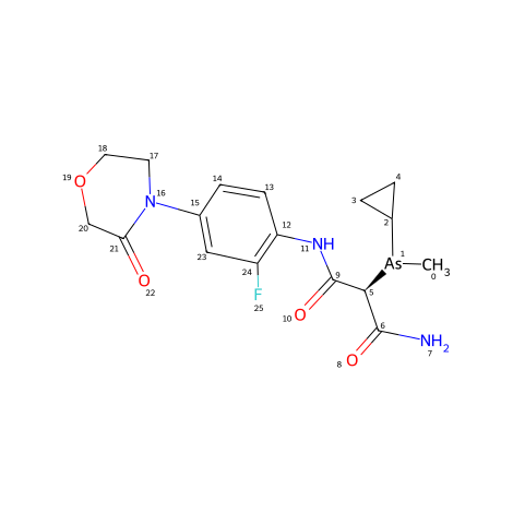 C[As](C1CC1)[C@@H](C(N)=O)C(=O)Nc1ccc(N2CCOCC2=O)cc1F